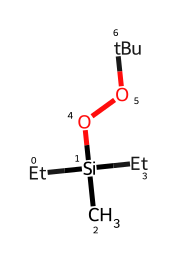 CC[Si](C)(CC)OOC(C)(C)C